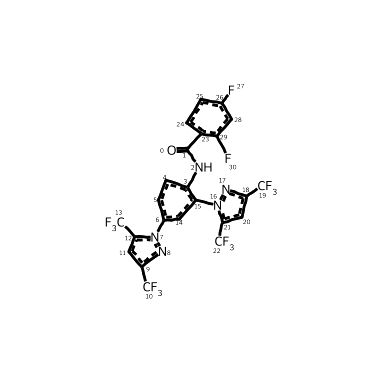 O=C(Nc1ccc(-n2nc(C(F)(F)F)cc2C(F)(F)F)cc1-n1nc(C(F)(F)F)cc1C(F)(F)F)c1ccc(F)cc1F